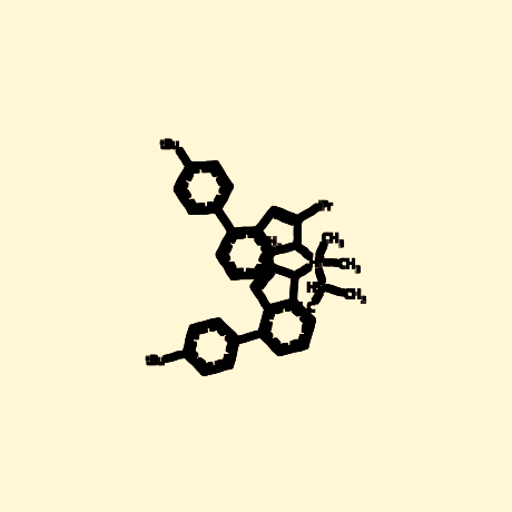 CC1=Cc2c(-c3ccc(C(C)(C)C)cc3)cccc2[CH]1[Hf]([CH3])([CH3])([CH]1C(C(C)C)=Cc2c(-c3ccc(C(C)(C)C)cc3)cccc21)[SiH](C)C